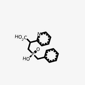 O=C(O)C(CP(=O)(O)Cc1ccccc1)c1ccccn1